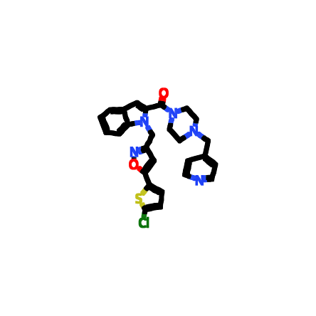 O=C(c1cc2ccccc2n1Cc1cc(-c2ccc(Cl)s2)on1)N1CCN(Cc2ccncc2)CC1